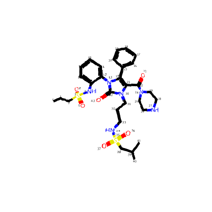 CCCS(=O)(=O)Nc1ccccc1-n1c(-c2ccccc2)c(C(=O)N2CCNCC2)n(CCCNS(=O)(=O)CC(C)C)c1=O